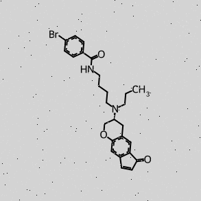 CCCN(CCCCNC(=O)c1ccc(Br)cc1)[C@@H]1COc2cc3c(cc2C1)C(=O)C=C3